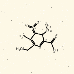 CCC1=C(N)C(=S(=O)=O)C(OC)C(C(=O)O)=C1